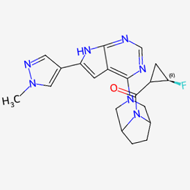 Cn1cc(-c2cc3c(N4CC5CCC(C4)N5C(=O)C4C[C@H]4F)ncnc3[nH]2)cn1